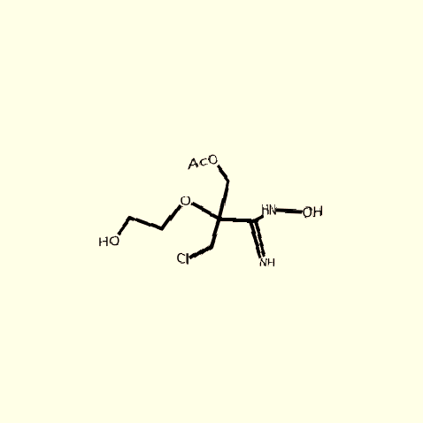 CC(=O)OCC(CCl)(OCCO)C(=N)NO